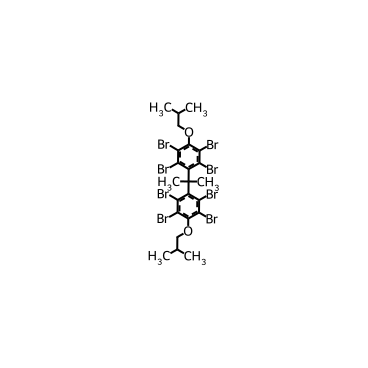 CC(C)COc1c(Br)c(Br)c(C(C)(C)c2c(Br)c(Br)c(OCC(C)C)c(Br)c2Br)c(Br)c1Br